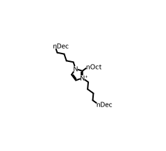 CCCCCCCCCCCCCCn1cc[n+](CCCCCCCCCCCCCC)c1CCCCCCCC